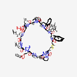 CC[C@H](C)[C@H]1C(=O)N[C@H](C(=O)N2CCCCC2)CSCC(=O)N(C)[C@@H](Cc2ccccc2)C(=O)N(C)[C@@H](C)C(=O)N(C)[C@@H](Cc2ccccc2)C(=O)N(C)[C@@H](CC(C)C)C(=O)N[C@@H]([C@@H](C)O)C(=O)N(C)CC(=O)N(C)[C@@H](CC(C)C)C(=O)N[C@@H](CCOC(C)(C)C)C(=O)N1C